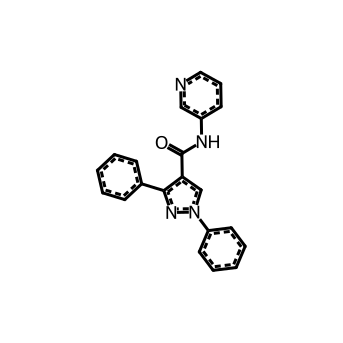 O=C(Nc1cccnc1)c1cn(-c2ccccc2)nc1-c1ccccc1